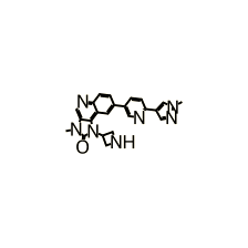 Cn1cc(-c2ccc(-c3ccc4ncc5c(c4c3)n(C3CNC3)c(=O)n5C)cn2)cn1